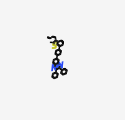 C=C/C=C\c1c(C)sc2c(-c3ccc(-c4ccc5nc(-c6ccccc6)c(-c6ccccc6)nc5c4)cc3)cccc12